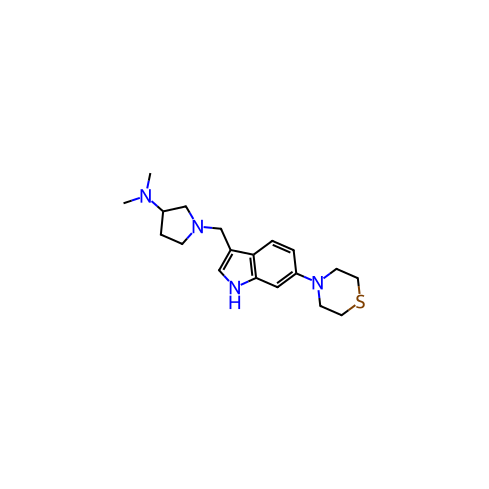 CN(C)C1CCN(Cc2c[nH]c3cc(N4CCSCC4)ccc23)C1